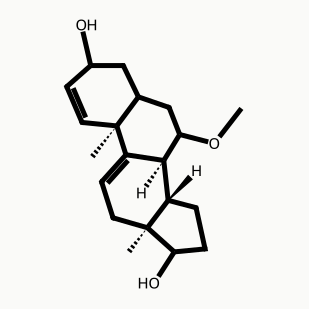 COC1CC2CC(O)C=C[C@]2(C)C2=CC[C@]3(C)C(O)CC[C@H]3[C@@H]21